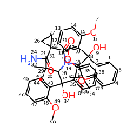 COc1ccccc1C(O)(c1ccccc1OC)[C@H](N(C(=O)C1(C(N)=O)CC1)[C@H](C(C)(C)C)C(O)(c1ccccc1OC)c1ccccc1OC)C(C)(C)C